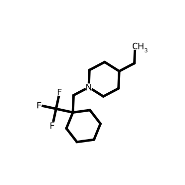 CCC1CCN(CC2(C(F)(F)F)CCCCC2)CC1